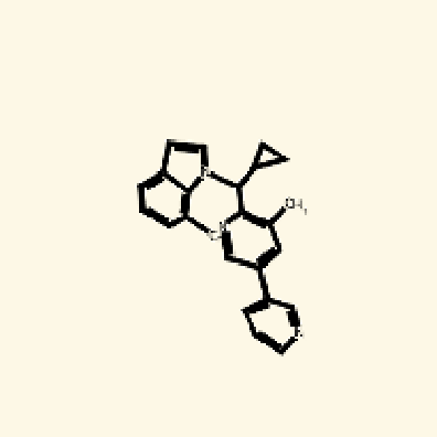 Cc1cc(-c2cccnc2)cnc1C(C1CC1)n1ccc2cccc(C)c21